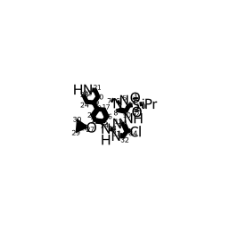 CC(C)S(=O)(=O)c1nn(C)cc1Nc1nc(Nc2ccc(C3CCNCC3)cc2OC2CC2)ncc1Cl